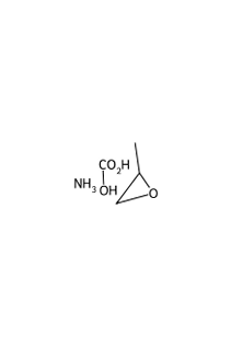 CC1CO1.N.O=C(O)O